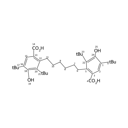 CC(C)(C)c1cc(C(=O)O)c(CCCCCCc2c(C(=O)O)cc(C(C)(C)C)c(O)c2C(C)(C)C)c(C(C)(C)C)c1O